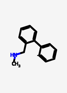 CNCc1ccccc1-c1[c]cccc1